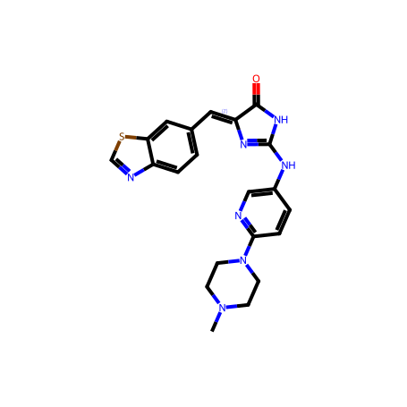 CN1CCN(c2ccc(NC3=N/C(=C\c4ccc5ncsc5c4)C(=O)N3)cn2)CC1